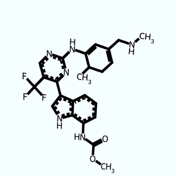 CNCC1=CCC(C)C(Nc2ncc(C(F)(F)F)c(-c3c[nH]c4c(NC(=O)OC)cccc34)n2)=C1